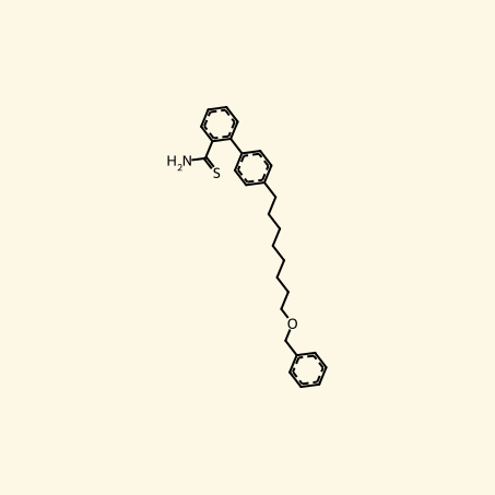 NC(=S)c1ccccc1-c1ccc(CCCCCCCCOCc2ccccc2)cc1